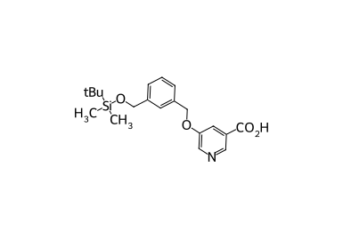 CC(C)(C)[Si](C)(C)OCc1cccc(COc2cncc(C(=O)O)c2)c1